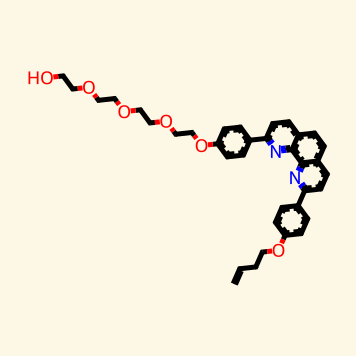 C=CCCOc1ccc(-c2ccc3ccc4ccc(-c5ccc(OCCOCCOCCOCCO)cc5)nc4c3n2)cc1